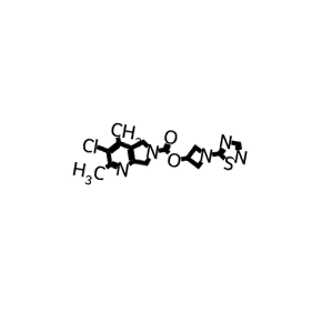 Cc1nc2c(c(C)c1Cl)CN(C(=O)OC1CN(c3ncns3)C1)C2